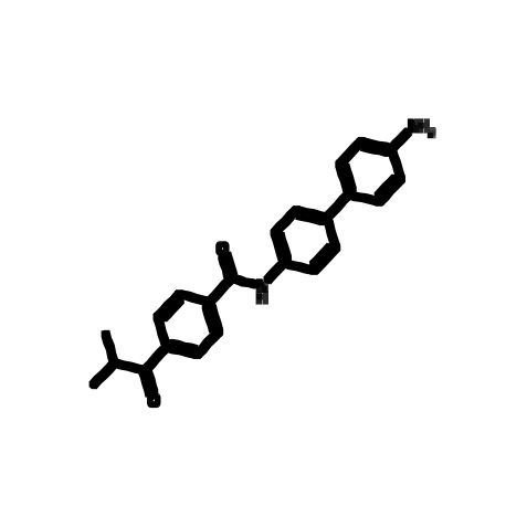 CC(C)C(=O)c1ccc(C(=O)Nc2ccc(-c3ccc(N)cc3)cc2)cc1